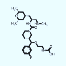 CNC[C@H](C[C@@H]1C[C@@H](C)O[C@@H](C)C1)NC(=O)N1CCC[C@@H]([C@@H](OCCNC(=O)O)c2cccc(F)c2)C1